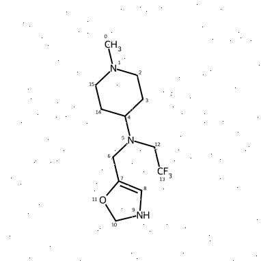 CN1CCC(N(CC2=CNCO2)CC(F)(F)F)CC1